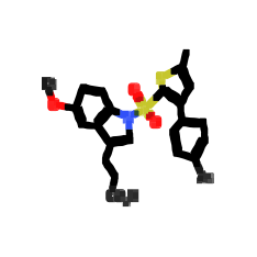 CCOc1ccc2c(c1)c(CCC(=O)O)cn2S(=O)(=O)c1sc(C)cc1-c1ccc(C(C)=O)cc1